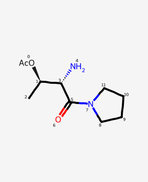 CC(=O)O[C@H](C)[C@H](N)C(=O)N1CCCC1